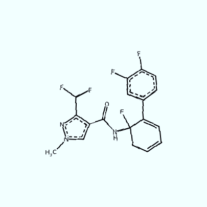 Cn1cc(C(=O)NC2(F)CC=CC=C2c2ccc(F)c(F)c2)c(C(F)F)n1